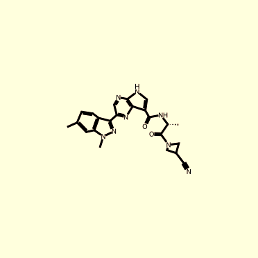 Cc1ccc2c(-c3cnc4[nH]cc(C(=O)N[C@H](C)C(=O)N5CC(C#N)C5)c4n3)nn(C)c2c1